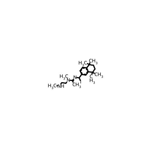 CNCCN(C)/C(C)=N/C(I)c1ccc2c(c1)C(C)(C)CCC2(C)C